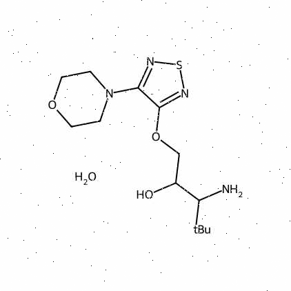 CC(C)(C)C(N)C(O)COc1nsnc1N1CCOCC1.O